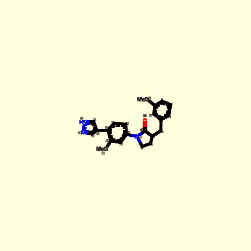 COc1cccc(CC2CCN(c3ccc(-c4cn[nH]c4)c(OC)c3)C2=O)c1